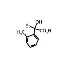 CCC(O)(C(=O)O)c1ccccc1C